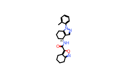 Cc1ccccc1-n1ncc2c1CCC[C@H]2NC(=O)c1onc2c1CCCC2